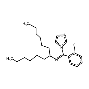 CCCCCCN(CCCCCC)N=C(c1ccccc1Cl)n1ccnc1